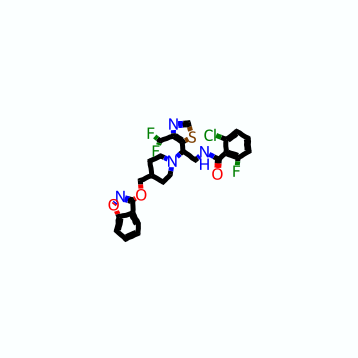 O=C(NCC(c1scnc1C(F)F)N1CCC(COc2noc3ccccc23)CC1)c1c(F)cccc1Cl